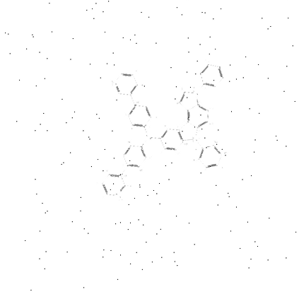 c1ccc(-n2ccc3c4c5cc(N(c6ccc(-c7cccnc7)cc6)c6ccc(-c7cccnc7)cc6)ccc5n(-c5ccccc5)c4ccc32)cc1